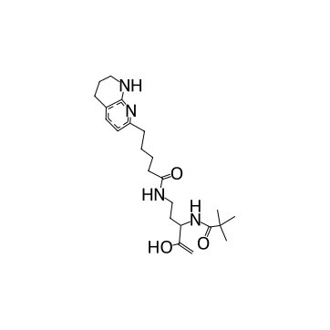 C=C(O)C(CCNC(=O)CCCCc1ccc2c(n1)NCCC2)NC(=O)C(C)(C)C